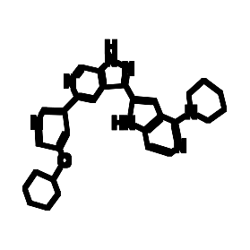 c1cc2[nH]c(-c3n[nH]c4cnc(-c5cncc(OC6CCCCC6)c5)cc34)cc2c(N2CCCCC2)n1